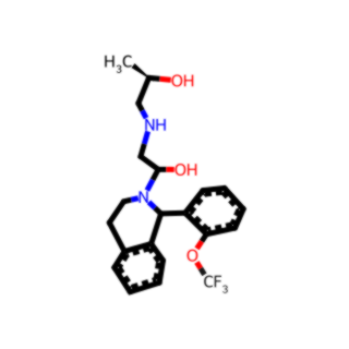 C[C@@H](O)CNCC(O)N1CCc2ccccc2C1c1ccccc1OC(F)(F)F